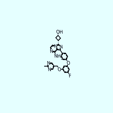 Cc1ncc(COc2cc(F)cc(Oc3ccc(-c4nc([C@H]5C[C@@H](O)C5)n5ccnc(N)c45)cc3)c2)cn1